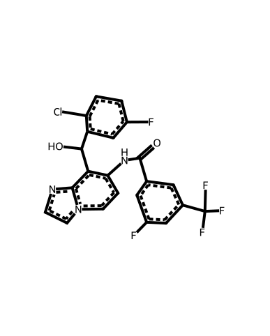 O=C(Nc1ccn2ccnc2c1C(O)c1cc(F)ccc1Cl)c1cc(F)cc(C(F)(F)F)c1